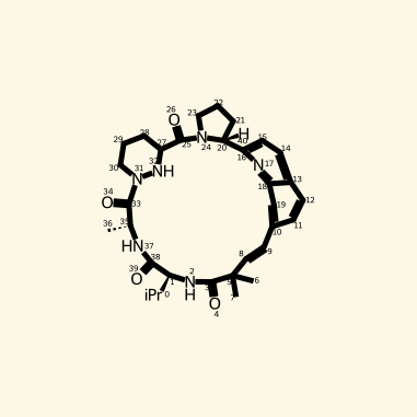 CC(C)[C@@H]1NC(=O)C(C)(C)/C=C/c2ccc3ccc(nc3c2)[C@H]2CCCN2C(=O)C2CCCN(N2)C(=O)[C@@H](C)NC1=O